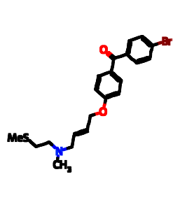 CSCCN(C)CC=CCOc1ccc(C(=O)c2ccc(Br)cc2)cc1